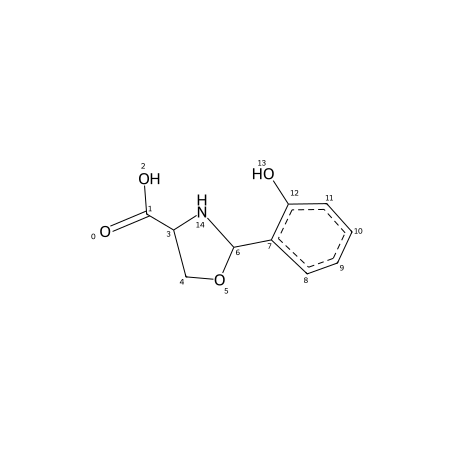 O=C(O)C1COC(c2ccccc2O)N1